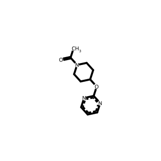 CC(=O)N1CCC(Oc2ncccn2)CC1